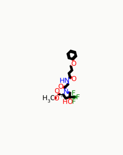 COC(=O)[C@@H]1CC(O)(C(F)(F)F)CN1C(=O)CNC(=O)CCCOc1ccccc1